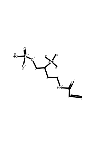 C=CC(=O)NCCC(COP(=O)([O-])O)[N+](C)(C)C